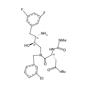 CCCCC(=O)C[C@@H](NC(=O)NC)C(=O)N(Cc1cccc(CC)c1)C[C@@H](O)[C@@H](N)Cc1cc(F)cc(F)c1